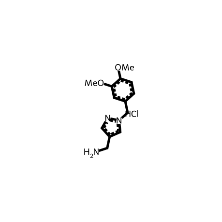 COc1ccc(Cn2cc(CN)cn2)cc1OC.Cl